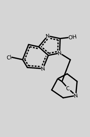 Oc1nc2cc(Cl)cnc2n1CC1CN2CCC1CC2